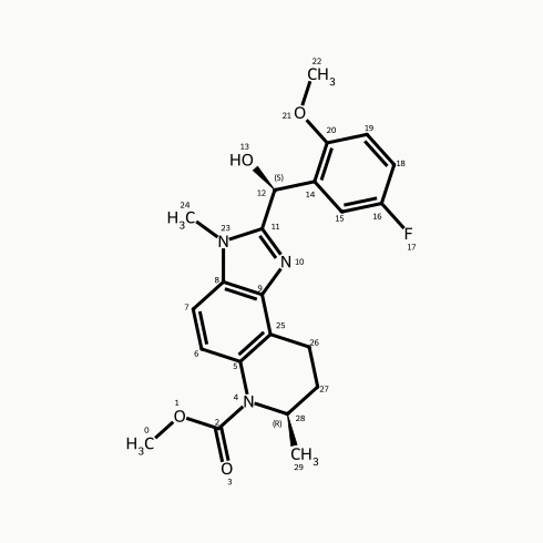 COC(=O)N1c2ccc3c(nc([C@@H](O)c4cc(F)ccc4OC)n3C)c2CC[C@H]1C